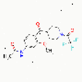 COc1cc(NC(C)=O)ccc1C(=O)C1CCN(C(=O)C(F)(F)F)CC1